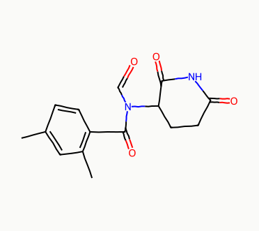 Cc1ccc(C(=O)N(C=O)C2CCC(=O)NC2=O)c(C)c1